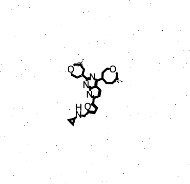 C[C@@H]1CCC(c2nc(C3CCOC[C@H](C)C3)nc3nc(-c4ccc(CNC5CC5)o4)ccc23)CCOC1